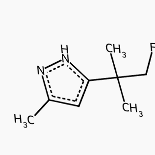 Cc1cc(C(C)(C)CF)[nH]n1